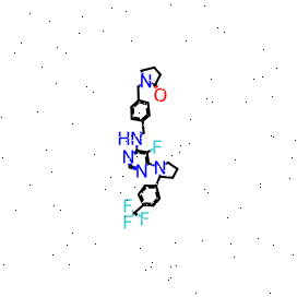 O=C1CCCN1Cc1ccc(CNc2ncnc(N3CCCC3c3ccc(C(F)(F)F)cc3)c2F)cc1